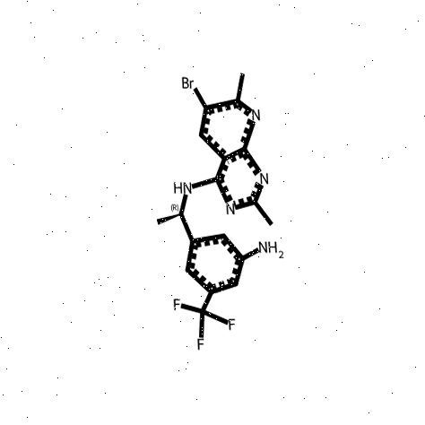 Cc1nc(N[C@H](C)c2cc(N)cc(C(F)(F)F)c2)c2cc(Br)c(C)nc2n1